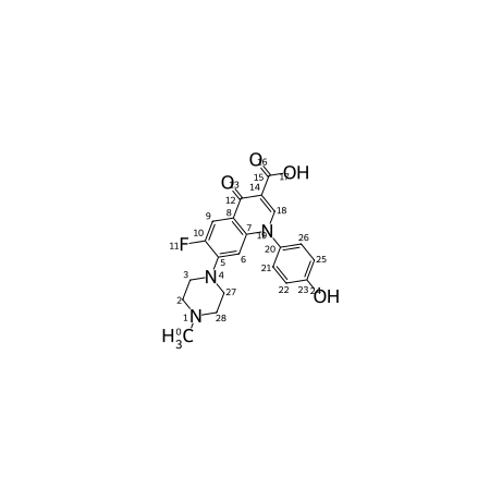 CN1CCN(c2cc3c(cc2F)c(=O)c(C(=O)O)cn3-c2ccc(O)cc2)CC1